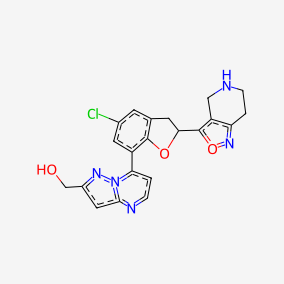 OCc1cc2nccc(-c3cc(Cl)cc4c3OC(c3onc5c3CNCC5)C4)n2n1